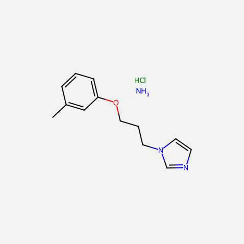 Cc1cccc(OCCCn2ccnc2)c1.Cl.N